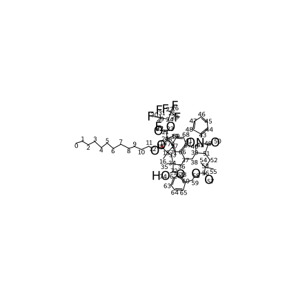 CCCCCCCCCCCCOC(=O)C(C)(CC(C)(C)C(=O)OC(C(F)(F)F)C(F)(F)F)CC(C)(CC(CC1C(=O)N(c2ccccc2)C(=O)C1CC(C)(C)C(=O)OCc1ccccc1)c1ccccc1)C(=O)O